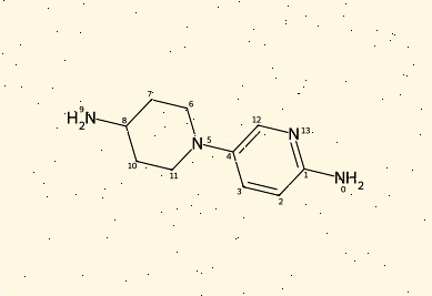 Nc1ccc(N2CCC(N)CC2)cn1